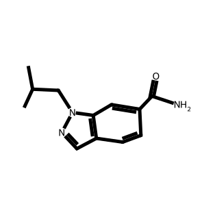 CC(C)Cn1ncc2ccc(C(N)=O)cc21